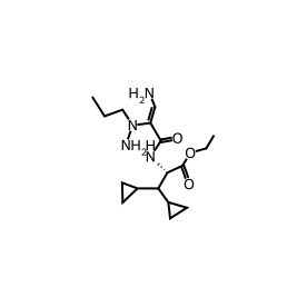 CCCN(N)/C(=C\N)C(=O)N[C@H](C(=O)OCC)C(C1CC1)C1CC1